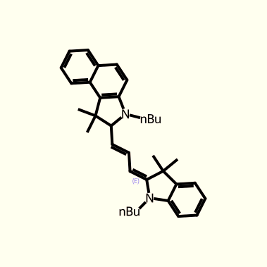 CCCCN1/C(=C/C=CC2N(CCCC)c3ccc4ccccc4c3C2(C)C)C(C)(C)c2ccccc21